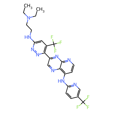 CCN(CC)CCNc1cc(C(F)(F)F)c(-c2cnc3c(Nc4ccc(C(F)(F)F)cn4)ccnc3n2)nn1